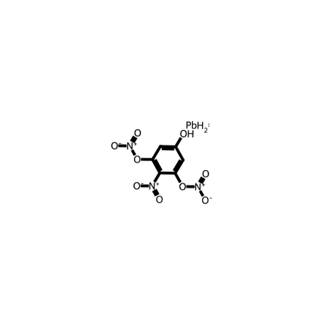 O=[N+]([O-])Oc1cc(O)cc(O[N+](=O)[O-])c1[N+](=O)[O-].[PbH2]